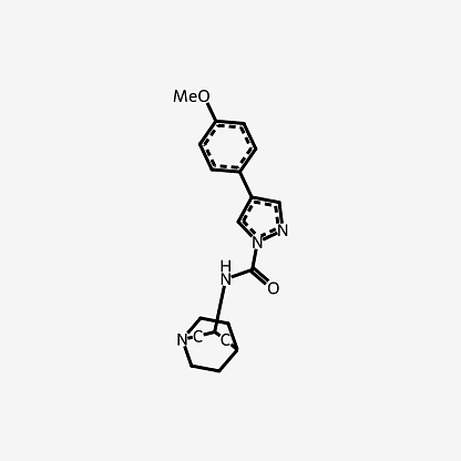 COc1ccc(-c2cnn(C(=O)NC3CC4CCN(CC4)C3)c2)cc1